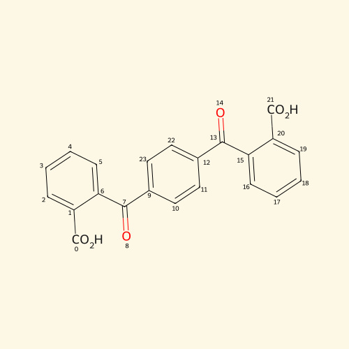 O=C(O)c1ccccc1C(=O)c1ccc(C(=O)c2ccccc2C(=O)O)cc1